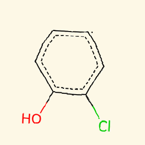 Oc1cc[c]cc1Cl